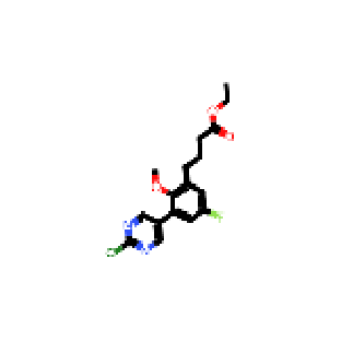 CCOC(=O)CCCc1cc(F)cc(-c2cnc(Cl)nc2)c1OC